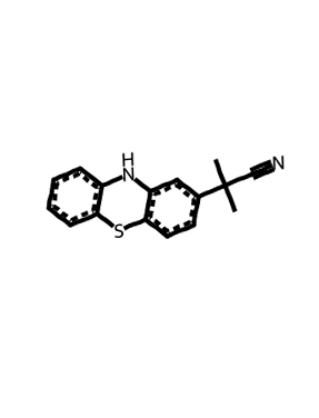 CC(C)(C#N)c1ccc2c(c1)Nc1ccccc1S2